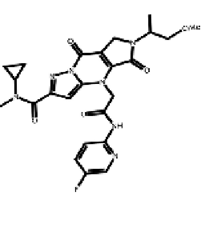 COCC(C)N1Cc2c(n(CC(=O)Nc3ccc(F)cn3)c3cc(C(=O)N(C)C4CC4)nn3c2=O)C1=O